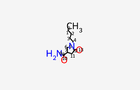 CCCCCN1CC(C(N)=O)CC1=O